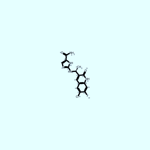 C[C@H](Nc1ncc(C(N)=O)[nH]1)c1cc2cc(Cl)c(F)cc2[nH]c1=O